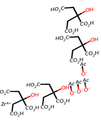 CC(=O)[O-].CC(=O)[O-].CC(=O)[O-].CC(=O)[O-].O=C(O)CC(O)(CC(=O)O)C(=O)O.O=C(O)CC(O)(CC(=O)O)C(=O)O.O=C(O)CC(O)(CC(=O)O)C(=O)O.O=C(O)CC(O)(CC(=O)O)C(=O)O.[Zr+4]